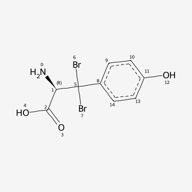 N[C@H](C(=O)O)C(Br)(Br)c1ccc(O)cc1